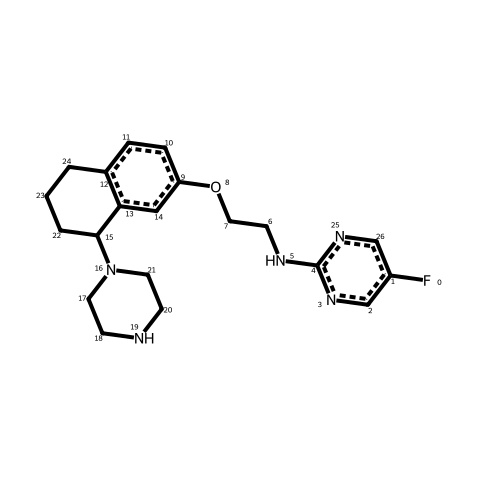 Fc1cnc(NCCOc2ccc3c(c2)C(N2CCNCC2)CCC3)nc1